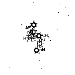 Cc1cc(C)c(C(=O)N2CCN(c3ccccc3C#N)CC2)cc1CC1(N(C(=O)O)C(C)(C)C)CCN(c2ccccc2C#N)CC1